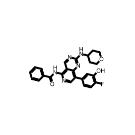 O=C(Nc1ncc(-c2ccc(F)c(O)c2)c2nc(NC3CCOCC3)ncc12)c1ccccc1